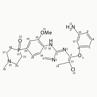 C=N/C(=N\C(Oc1cccc(N)c1)=C(/C)Cl)Nc1ccc(P2(=O)CCN(C)CC2)cc1OC